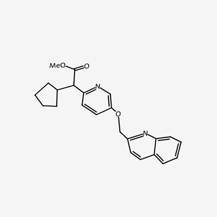 COC(=O)C(c1ccc(OCc2ccc3ccccc3n2)cn1)C1CCCC1